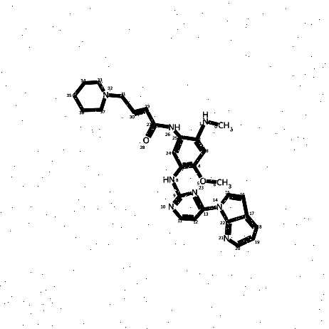 CNc1cc(OC)c(Nc2nccc(-n3ccc4cccnc43)n2)cc1NC(=O)/C=C/CN1CCCCC1